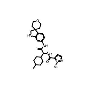 CCn1nccc1C(=O)NC(C(=O)Nc1ccc2c(c1)NCC21CCOCC1)C1CCC(C)CC1